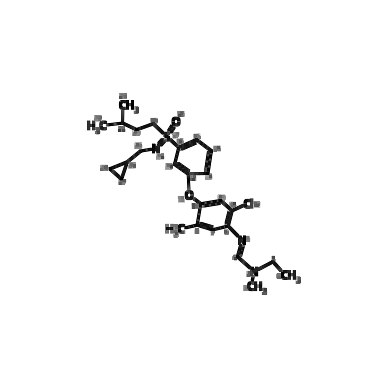 CCN(C)C=Nc1cc(C)c(Oc2cccc(S(=O)(CCC(C)C)=NCC3CC3)c2)cc1Cl